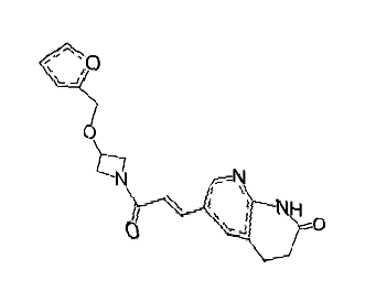 O=C1CCc2cc(C=CC(=O)N3CC(OCc4ccco4)C3)cnc2N1